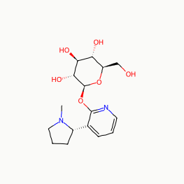 CN1CCC[C@H]1c1cccnc1O[C@@H]1O[C@H](CO)[C@@H](O)[C@H](O)[C@H]1O